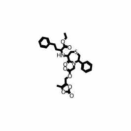 CCOC(=O)C(CCc1ccccc1)NC1CSCC(c2ccccc2)N(CC(=O)OCc2oc(=O)oc2C)C1=O